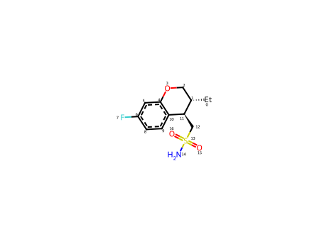 CC[C@H]1COc2cc(F)ccc2[C@@H]1CS(N)(=O)=O